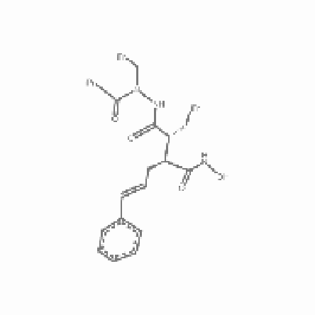 CC(C)C[C@@H](C(=O)NN(CC(C)C)C(=O)C(C)C)[C@H](CC=Cc1ccccc1)C(=O)NO